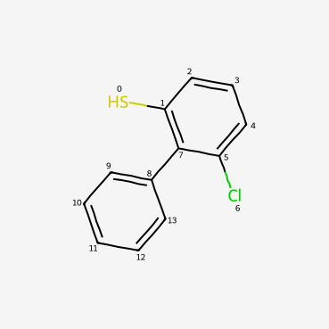 Sc1cccc(Cl)c1-c1ccccc1